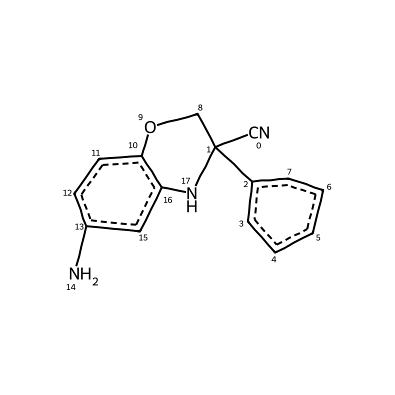 N#CC1(c2ccccc2)COc2ccc(N)cc2N1